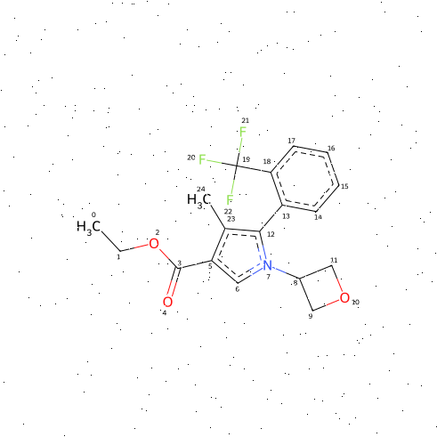 CCOC(=O)c1cn(C2COC2)c(-c2ccccc2C(F)(F)F)c1C